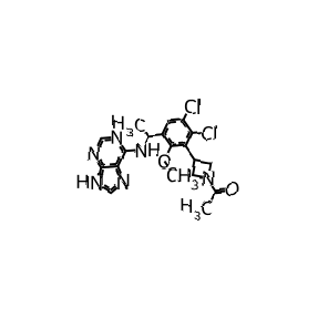 COc1c(C(C)Nc2ncnc3[nH]cnc23)cc(Cl)c(Cl)c1C1CN(C(C)=O)C1